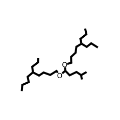 CCCCC(CCC)CCCCOC(CCC(C)C)OCCCCC(CCC)CCC